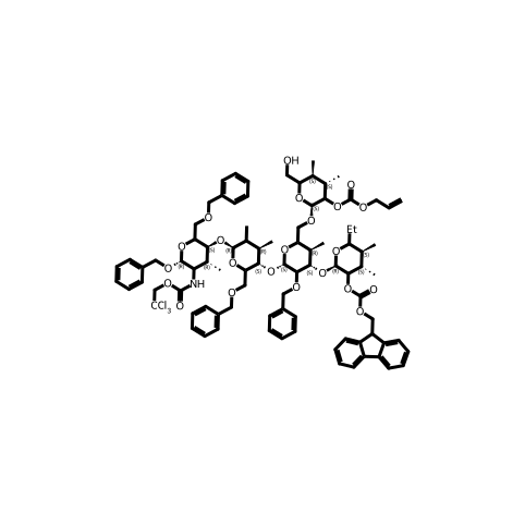 C=CCOC(=O)OC1[C@@H](OCC2O[C@@H](O[C@@H]3C(COCc4ccccc4)O[C@@H](O[C@@H]4C(COCc5ccccc5)O[C@@H](OCc5ccccc5)C(NC(=O)OCC(Cl)(Cl)Cl)[C@H]4C)C(C)[C@H]3C)C(OCc3ccccc3)[C@@H](O[C@H]3OC(CC)[C@@H](C)[C@H](C)C3OC(=O)OCC3c4ccccc4-c4ccccc43)[C@@H]2C)OC(CO)[C@@H](C)[C@@H]1C